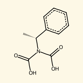 C[C@H](c1ccccc1)N(C(=O)O)C(=O)O